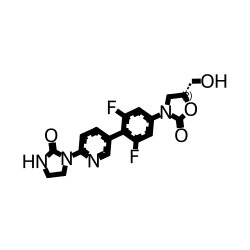 O=C1O[C@@H](CO)CN1c1cc(F)c(-c2ccc(N3CCNC3=O)nc2)c(F)c1